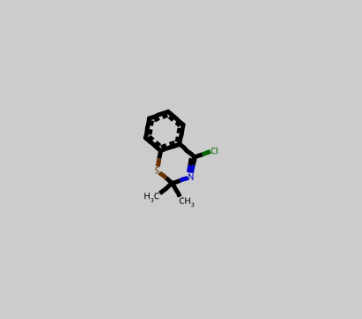 CC1(C)N=C(Cl)c2ccccc2S1